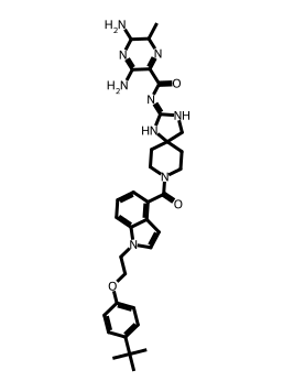 CC1N=C(C(=O)/N=C2\NCC3(CCN(C(=O)c4cccc5c4ccn5CCOc4ccc(C(C)(C)C)cc4)CC3)N2)C(N)=NC1N